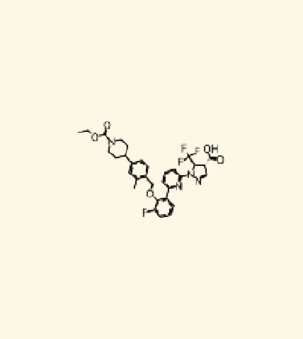 CCOC(=O)N1CCC(c2ccc(COc3c(F)cccc3-c3cccc(N4N=C[C@@H](C(=O)O)C4C(F)(F)F)n3)c(C)c2)CC1